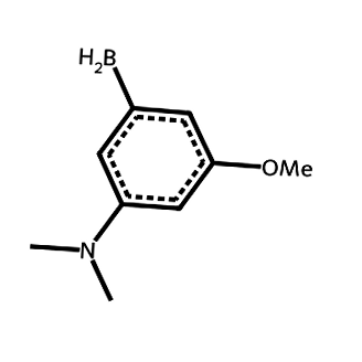 Bc1cc(OC)cc(N(C)C)c1